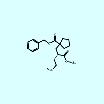 COCC[C@H](CC1(C(=O)OCc2ccccc2)CCCC1)C(=O)OC(C)(C)C